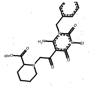 CCn1c(=O)c(C(=O)CN2CCCCC2C(=O)OC)c(N)n(Cc2ccccc2)c1=O